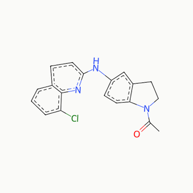 CC(=O)N1CCc2cc(Nc3ccc4cccc(Cl)c4n3)ccc21